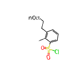 CCCCCCCCCCc1cccc(S(=O)(=O)Cl)c1C